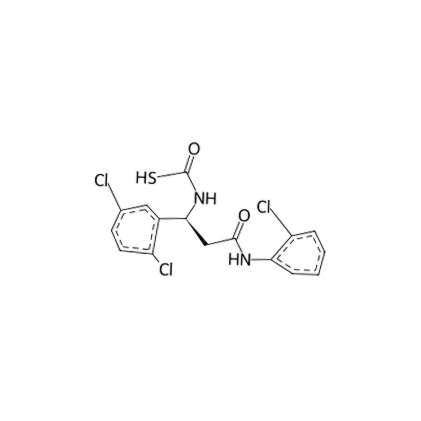 O=C(S)N[C@@H](CC(=O)Nc1ccccc1Cl)c1cc(Cl)ccc1Cl